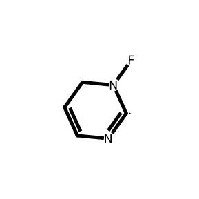 FN1[C]=NC=CC1